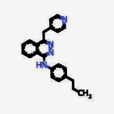 CCCc1ccc(Nc2nnc(Cc3ccncc3)c3ccccc23)cc1